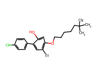 CCc1cc(-c2ccc(Cl)cc2)c(O)cc1OCCCCCC(C)(C)C#N